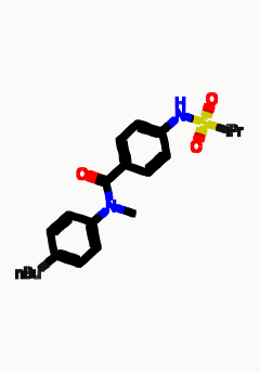 CCCCc1ccc(N(C)C(=O)c2ccc(NS(=O)(=O)C(C)C)cc2)cc1